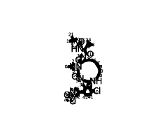 CC(C)C[C@@H]1NC(=O)[C@@H](N(C)C(=O)[C@@H](NC(=O)OC(C)(C)C)C2CC2)CCC=CCCCNC(=O)[C@H](Cc2cc(Cl)ccc2-c2cnn(S(C)(=O)=O)c2)N(C)C1=O